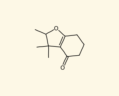 CC1OC2=C(C(=O)CCC2)C1(C)C